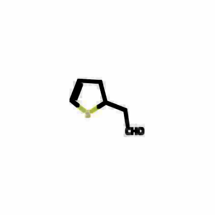 O=CCC1CC=CS1